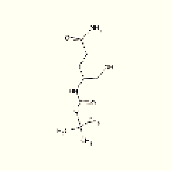 CC(C)(C)OC(=O)NC(CO)CCC(N)=O